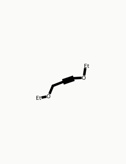 CCOC#CCOCC